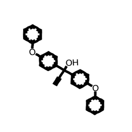 C#CC(O)(c1ccc(Oc2ccccc2)cc1)c1ccc(Oc2ccccc2)cc1